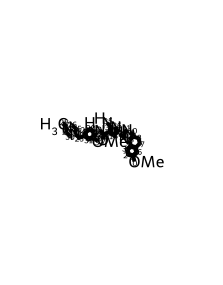 COc1ccc2c(c1)CCc1cnc(-n3cc(C(=O)Nc4ccc(CN5CCN(C)CC5)cc4OC)c(N)n3)nc1-2